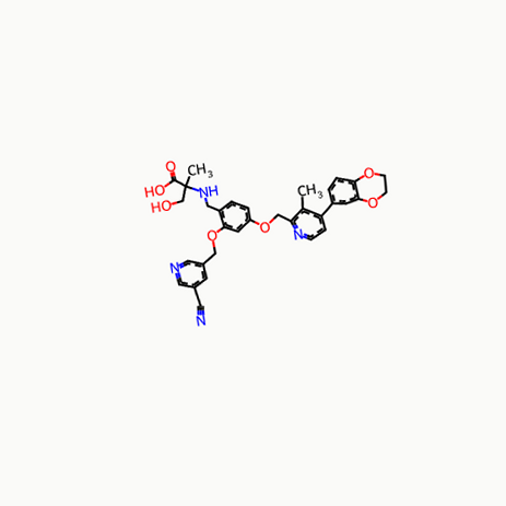 Cc1c(-c2ccc3c(c2)OCCO3)ccnc1COc1ccc(CNC(C)(CO)C(=O)O)c(OCc2cncc(C#N)c2)c1